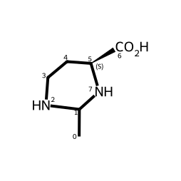 CC1NCC[C@@H](C(=O)O)N1